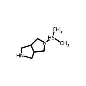 C[SH](C)N1CC2CNCC2C1